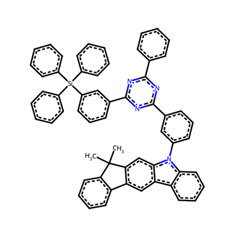 CC1(C)c2ccccc2-c2cc3c4ccccc4n(-c4cccc(-c5nc(-c6ccccc6)nc(-c6cccc([Si](c7ccccc7)(c7ccccc7)c7ccccc7)c6)n5)c4)c3cc21